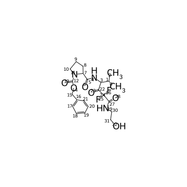 CC(C)C(NC(=O)C1CCCN1C(=O)OCc1ccccc1)C(=O)C(F)(F)C(=O)NCCO